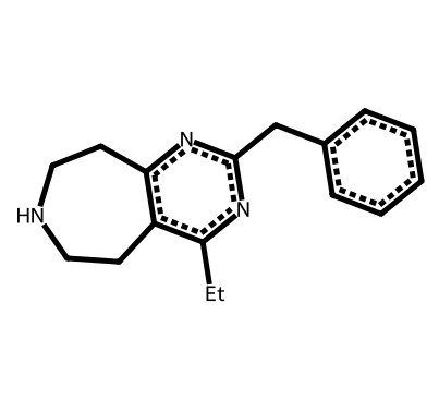 CCc1nc(Cc2ccccc2)nc2c1CCNCC2